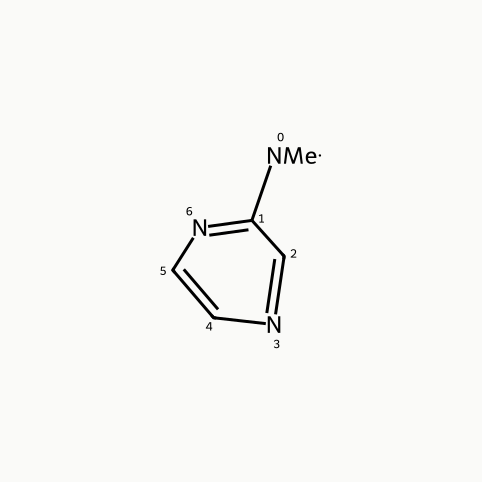 C[N]c1cnccn1